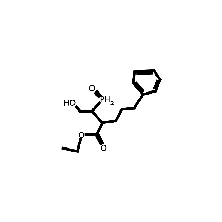 CCOC(=O)C(CCCc1ccccc1)C(CO)[PH2]=O